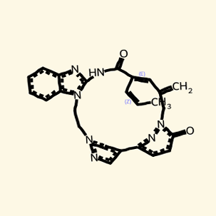 C=C1/C=C(\C=C/C)C(=O)Nc2nc3ccccc3n2CCn2cc(cn2)-c2ccc(=O)n(n2)C1